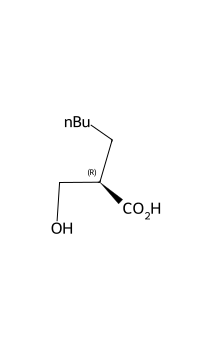 CCCCC[C@H](CO)C(=O)O